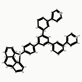 c1cc(-c2ccncc2)cc(-c2cc(-c3ccc(-n4c5cccc6ccc7cccc4c7c65)cc3)cc(-c3cccc(-c4ccncc4)c3)c2)c1